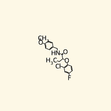 CCC(Oc1ccc(F)cc1Cl)C(=O)NCc1ccc(OC)cc1